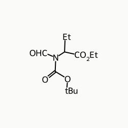 CCOC(=O)C(CC)N(C=O)C(=O)OC(C)(C)C